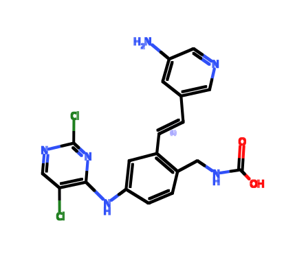 Nc1cncc(/C=C/c2cc(Nc3nc(Cl)ncc3Cl)ccc2CNC(=O)O)c1